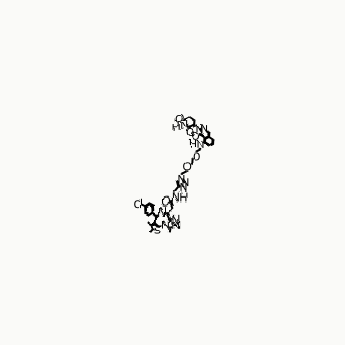 Cc1sc2c(c1C)C(c1ccc(Cl)cc1)=N[C@@H](CC(=O)NCc1cn(CCOCCOCCNc3cccc4cnn(C5CCC(=O)NC5=O)c(=O)c34)nn1)c1nnc(C)n1-2